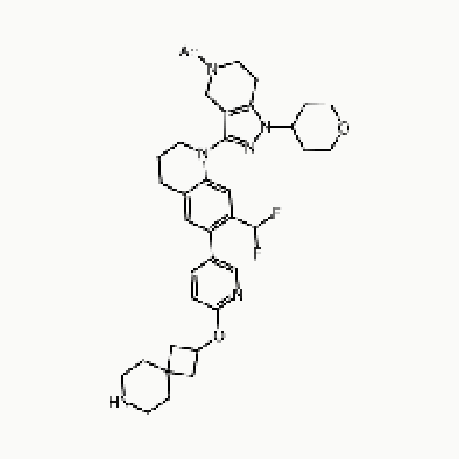 CC(=O)N1CCc2c(c(N3CCCc4cc(-c5ccc(OC6CC7(CCNCC7)C6)nc5)c(C(F)F)cc43)nn2C2CCOCC2)C1